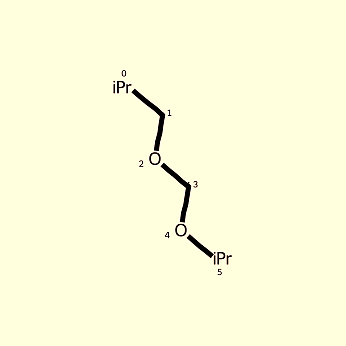 CC(C)CO[CH]OC(C)C